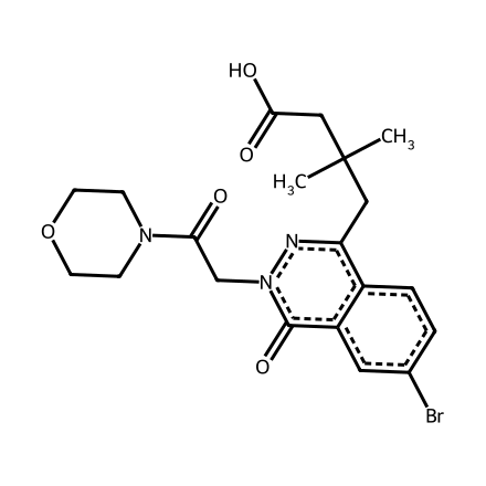 CC(C)(CC(=O)O)Cc1nn(CC(=O)N2CCOCC2)c(=O)c2cc(Br)ccc12